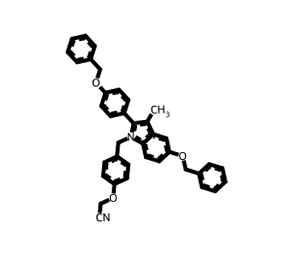 Cc1c(-c2ccc(OCc3ccccc3)cc2)n(Cc2ccc(OCC#N)cc2)c2ccc(OCc3ccccc3)cc12